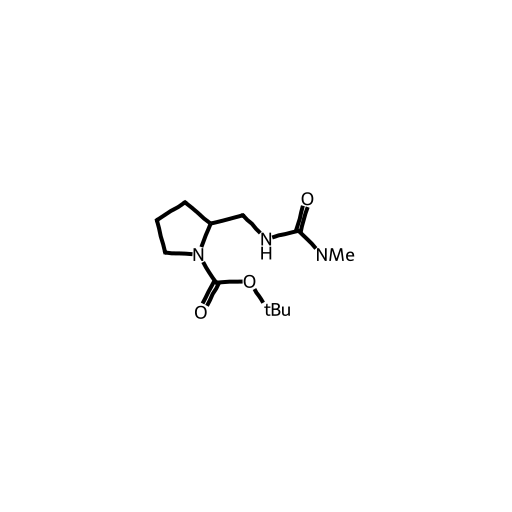 CNC(=O)NCC1CCCN1C(=O)OC(C)(C)C